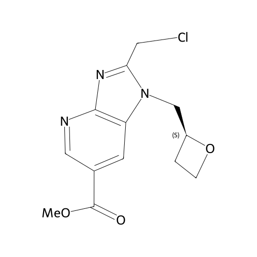 COC(=O)c1cnc2nc(CCl)n(C[C@@H]3CCO3)c2c1